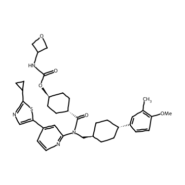 COc1ccc([C@H]2CC[C@H](CN(c3cc(-c4cnc(C5CC5)s4)ccn3)C(=O)[C@H]3CC[C@H](OC(=O)NC4COC4)CC3)CC2)cc1C